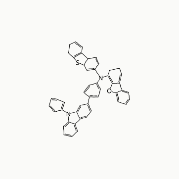 C1=CC2=C(CC1)SC1C=C(N(C3=c4oc5ccccc5c4=CCC3)c3ccc(-c4ccc5c6ccccc6n(-c6ccccc6)c5c4)cc3)C=CC21